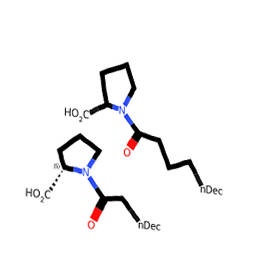 CCCCCCCCCCCC(=O)N1CCC[C@H]1C(=O)O.CCCCCCCCCCCCCC(=O)N1CCCC1C(=O)O